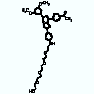 COc1cc(OC)cc(-c2cc(-c3ccc(C(C)=O)cc3)c3nc(-c4ccc(NCCOCCOCCOCCOCCO)cc4)cn3c2)c1